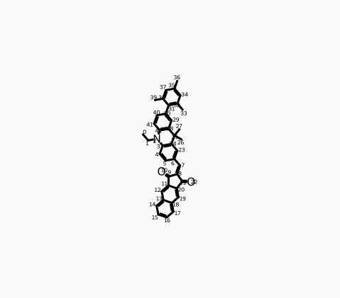 CCN1c2ccc(C=C3C(=O)c4cc5ccccc5cc4C3=O)cc2C(C)(C)c2cc(-c3c(C)cc(C)cc3C)ccc21